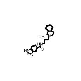 O=C(NC[C@H](O)CN1CCc2ccccc2C1)c1ccc2[nH]nnc2c1